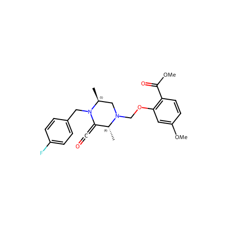 COC(=O)c1ccc(OC)cc1OCN1C[C@H](C)N(Cc2ccc(F)cc2)C(=C=O)[C@H]1C